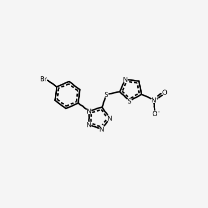 O=[N+]([O-])c1cnc(Sc2nnnn2-c2ccc(Br)cc2)s1